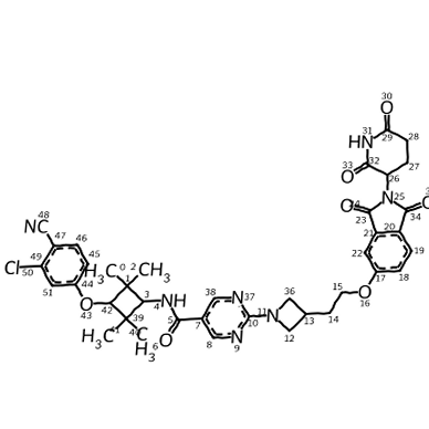 CC1(C)C(NC(=O)c2cnc(N3CC(CCOc4ccc5c(c4)C(=O)N(C4CCC(=O)NC4=O)C5=O)C3)nc2)C(C)(C)C1Oc1ccc(C#N)c(Cl)c1